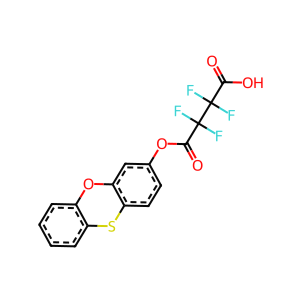 O=C(O)C(F)(F)C(F)(F)C(=O)Oc1ccc2c(c1)Oc1ccccc1S2